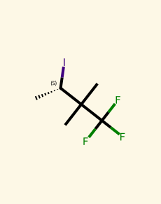 C[C@H](I)C(C)(C)C(F)(F)F